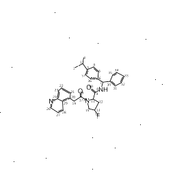 CC(C)c1ccc(C(NC(=O)C2CC(F)CN2C(=O)Cc2cccc3ncccc23)c2ccccc2)cc1